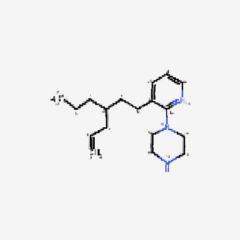 C=CCC(CCC)CCc1cccnc1N1CCNCC1